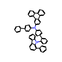 c1ccc(-c2ccc(N(c3ccc(-c4ccccc4-n4c5ccccc5c5cccc(-c6ccccc6)c54)cc3)c3ccc4c5ccccc5c5ccccc5c4c3)cc2)cc1